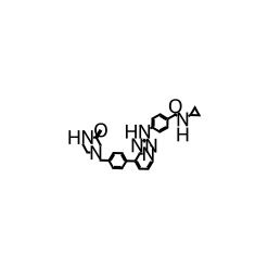 O=C1CN(Cc2ccc(-c3cccn4nc(Nc5ccc(C(=O)NC6CC6)cc5)nc34)cc2)CCN1